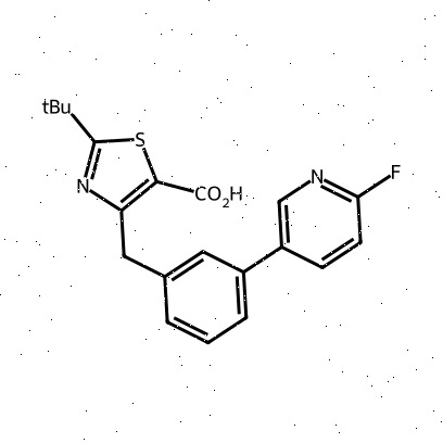 CC(C)(C)c1nc(Cc2cccc(-c3ccc(F)nc3)c2)c(C(=O)O)s1